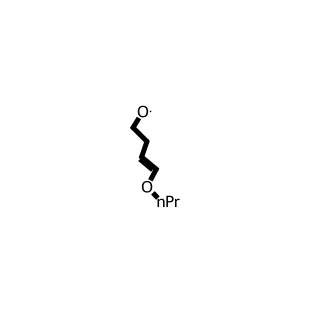 CCCOC=CCC[O]